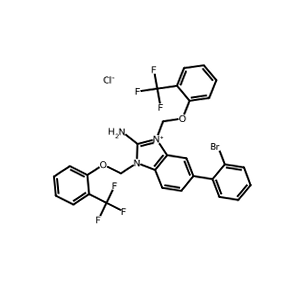 Nc1n(COc2ccccc2C(F)(F)F)c2ccc(-c3ccccc3Br)cc2[n+]1COc1ccccc1C(F)(F)F.[Cl-]